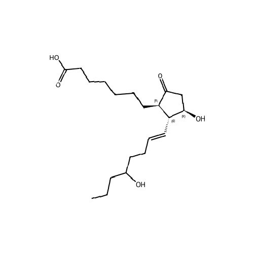 CCCC(O)CCC=C[C@H]1[C@H](O)CC(=O)[C@@H]1CCCCCCC(=O)O